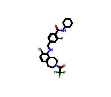 O=C(NC1CCCCC1)c1ccc(CNc2c(Cl)ccc3c2CCN(C(=O)C(F)(F)F)CC3)cc1F